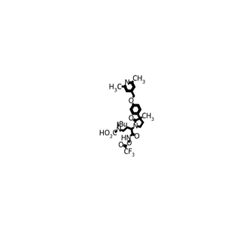 Cc1cc(COc2ccc(C3(C)CCN(C(CCN(C(=O)O)C(C)(C)C)C(=O)NOC(=O)C(F)(F)F)C3=O)cc2)cc(C)n1